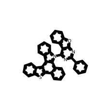 c1ccc(-c2nc(-n3c4ccccc4c4c5c6ccccc6sc5c5ccccc5c43)c3c(n2)oc2ccccc23)cc1